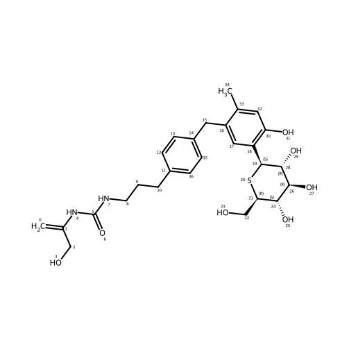 C=C(CO)NC(=O)NCCCc1ccc(Cc2cc([C@@H]3S[C@H](CO)[C@@H](O)[C@H](O)[C@H]3O)c(O)cc2C)cc1